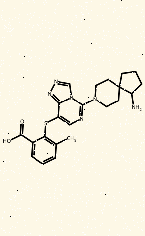 Cc1cccc(C(=O)O)c1Sc1cnc(N2CCC3(CCCC3N)CC2)n2cnnc12